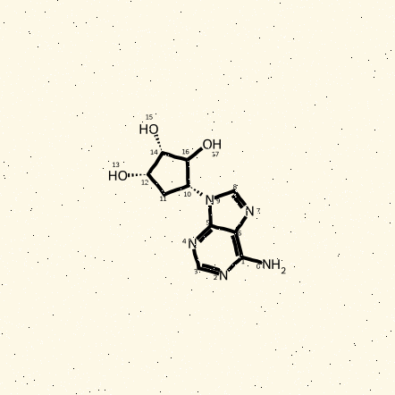 Nc1ncnc2c1ncn2[C@@H]1C[C@H](O)[C@H](O)C1O